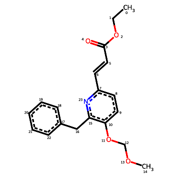 CCOC(=O)C=Cc1ccc(OCOC)c(Cc2ccccc2)n1